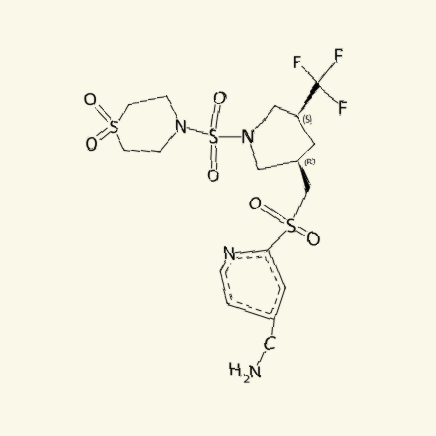 NCc1ccnc(S(=O)(=O)C[C@@H]2C[C@H](C(F)(F)F)CN(S(=O)(=O)N3CCS(=O)(=O)CC3)C2)c1